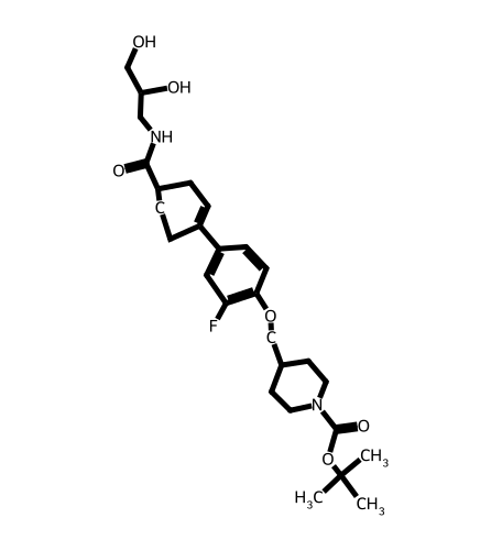 CC(C)(C)OC(=O)N1CCC(COc2ccc(C3=CCC(C(=O)NCC(O)CO)CC3)cc2F)CC1